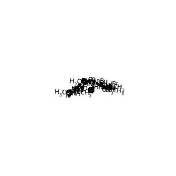 CCCCN(CC(=O)NC(C)(C)C(=O)N[C@H](C(=O)N(C)C)C(C)C)C(=O)[C@H](Cc1ccccc1)NC(=O)c1ccc(C)c(N2Cc3cnc(Nc4ccc(C)nc4)nc3N(C)C2=O)c1